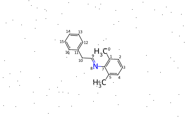 Cc1cccc(C)c1/N=C/Cc1ccccc1